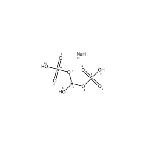 O=S(=O)(O)OB(O)OS(=O)(=O)O.[NaH]